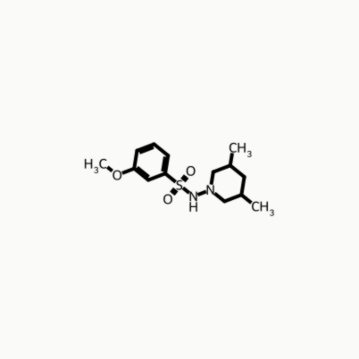 COc1cccc(S(=O)(=O)NN2CC(C)CC(C)C2)c1